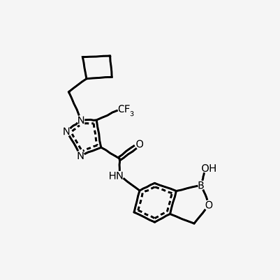 O=C(Nc1ccc2c(c1)B(O)OC2)c1nnn(CC2CCC2)c1C(F)(F)F